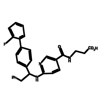 CC(C)CC(Nc1ccc(C(=O)NCCC(=O)O)cn1)c1ccc(-c2ccccc2F)cc1